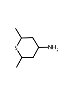 CC1CC(N)CC(C)S1